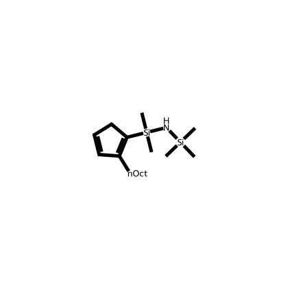 CCCCCCCCC1=C([Si](C)(C)N[Si](C)(C)C)CC=C1